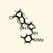 COc1ccc(C)cc1Nc1nc(C2=Cc3cccc(Cl)c3OC2O)cs1